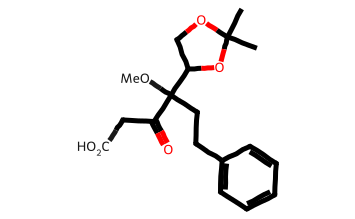 COC(CCc1ccccc1)(C(=O)CC(=O)O)C1COC(C)(C)O1